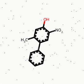 Cc1cc(O)c([N+](=O)[O-])cc1-c1ccccc1